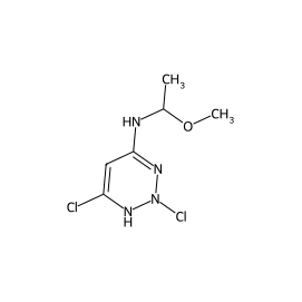 COC(C)NC1=NN(Cl)NC(Cl)=C1